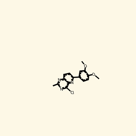 COc1ccc(-c2ccc3nc(C)nc(Cl)c3n2)cc1OC